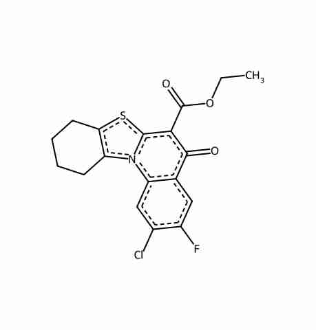 CCOC(=O)c1c(=O)c2cc(F)c(Cl)cc2n2c3c(sc12)CCCC3